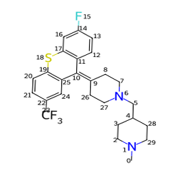 CN1CCC(CN2CCC(=C3c4ccc(F)cc4Sc4ccc(C(F)(F)F)cc43)CC2)CC1